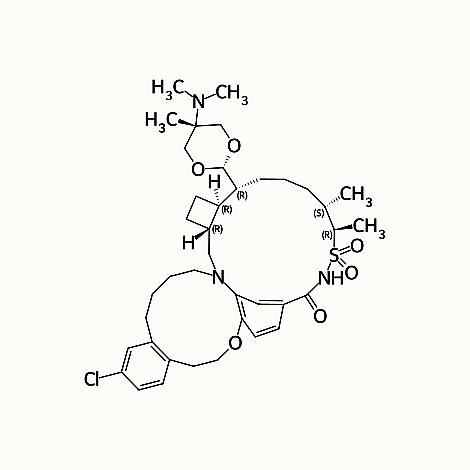 C[C@@H]1[C@@H](C)CCC[C@@H]([C@H]2OC[C@@](C)(N(C)C)CO2)[C@@H]2CC[C@H]2CN2CCCCc3cc(Cl)ccc3CCOc3ccc(cc32)C(=O)NS1(=O)=O